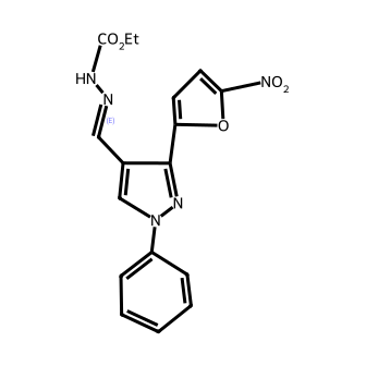 CCOC(=O)N/N=C/c1cn(-c2ccccc2)nc1-c1ccc([N+](=O)[O-])o1